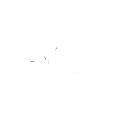 [2H]COc1ccc2c(c1)[C@@]13CCCC[C@H]1[C@@H](C2)N(C)CC3